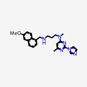 COc1ccc2c(CNCCCN(C)c3cc(C)nc(-n4ccnc4)n3)cccc2c1